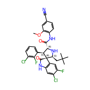 COc1cc(C#N)ccc1NC(=O)[C@@H]1N[C@@H](CC(C)(C)C)[C@@]2(C(=O)Nc3cc(Cl)c(F)cc32)[C@H]1c1cccc(Cl)c1F